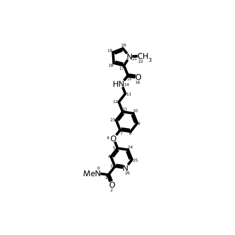 CNC(=O)c1cc(Oc2cccc(CCNC(=O)c3cccn3C)c2)ccn1